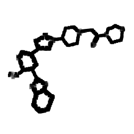 Nc1ncc(-c2cnn(C3CCN(CC(=O)N4CCOCC4)CC3)c2)cc1-c1nc2ccccc2s1